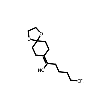 N#CC(CCCCC(F)(F)F)=C1CCC2(CC1)OCCO2